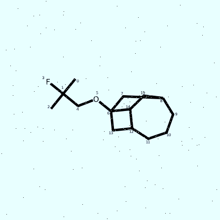 CC(C)(F)COC12CC3CCCC(C1)C2C3